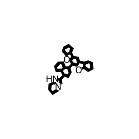 C1=CC2NC(c3ccc(-c4c5oc6ccccc6c5cc5c4oc4ccccc45)c4ccccc34)=CN2C=C1